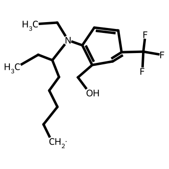 [CH2]CCCCC(CC)N(CC)c1ccc(C(F)(F)F)cc1CO